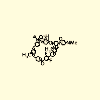 CNc1ccn(-c2ccnc3c2cc(CN2CCC(c4c(F)cc(C(=O)N5CCC(CN6CCN(Cc7ccc8c(c7)n(C7CC7)c(=O)n8[C@H]7CCC(=O)NC7=O)C[C@@H]6C)CC5)cc4F)CC2)n3C)c(=O)c1